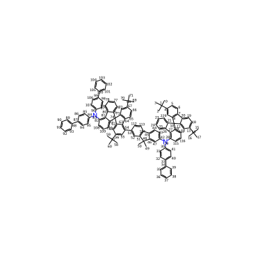 CC(C)(C)c1ccc2c(c1)C1(c3cc(C(C)(C)C)ccc3-2)c2ccccc2-c2c(N(c3ccc(-c4ccccc4)cc3)c3ccc4c(c3)C(C)(C)c3cc(-c5cc(C(C)(C)C)cc6c5-c5ccc(C(C)(C)C)cc5C65c6ccccc6-c6c(N(c7ccc(-c8ccccc8)cc7)c7ccc(-c8ccccc8)cc7)cccc65)ccc3-4)cccc21